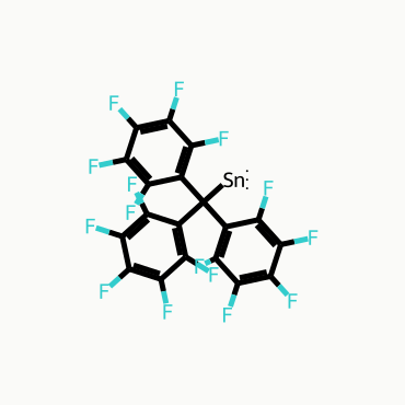 Fc1c(F)c(F)c([C]([Sn])(c2c(F)c(F)c(F)c(F)c2F)c2c(F)c(F)c(F)c(F)c2F)c(F)c1F